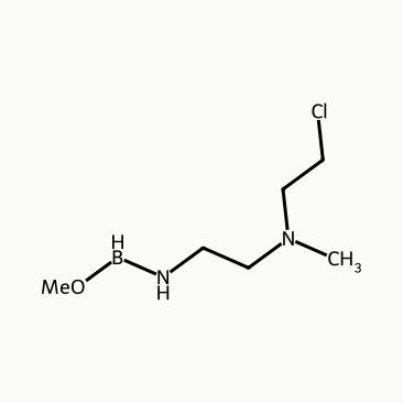 COBNCCN(C)CCCl